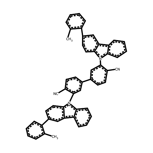 Cc1ccccc1-c1ccc2c(c1)c1ccccc1n2-c1cc(-c2ccc(C#N)c(-n3c4ccccc4c4cc(-c5ccccc5C)ccc43)c2)ccc1C#N